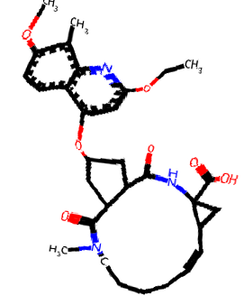 CCOc1cc(OC2CC3C(=O)NC4(C(=O)O)CC4C=CCCCCN(C)C(=O)C3C2)c2ccc(OC)c(C)c2n1